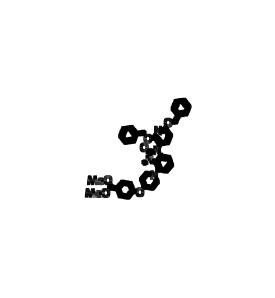 COC(OC)C1CCC(OC2CCN(c3cccc4c3n(C)c(=O)n4-c3ccc(OCc4ccccc4)nc3OCc3ccccc3)CC2)CC1